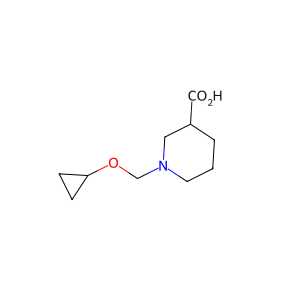 O=C(O)C1CCCN(COC2CC2)C1